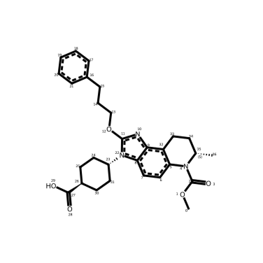 COC(=O)N1c2ccc3c(nc(OCCCc4ccccc4)n3[C@H]3CC[C@H](C(=O)O)CC3)c2CC[C@@H]1C